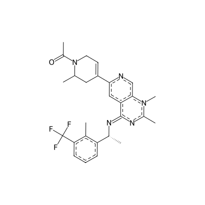 CC(=O)N1CC=C(c2cc3/c(=N/[C@H](C)c4cccc(C(F)(F)F)c4C)nc(C)n(C)c3cn2)CC1C